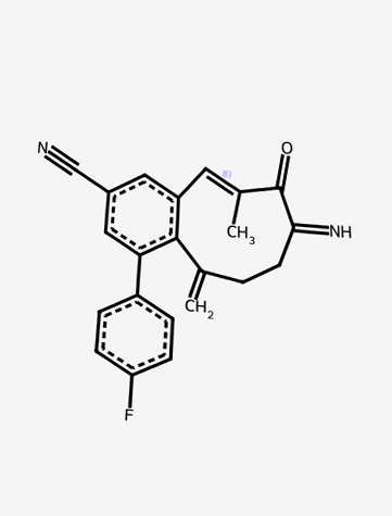 C=C1CCC(=N)C(=O)/C(C)=C/c2cc(C#N)cc(-c3ccc(F)cc3)c21